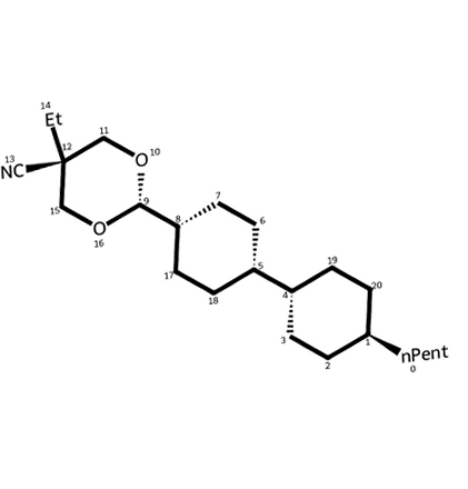 CCCCC[C@H]1CC[C@H]([C@H]2CC[C@@H]([C@H]3OC[C@@](C#N)(CC)CO3)CC2)CC1